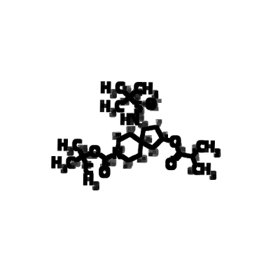 CC(C)C(=O)O[C@@H]1C[C@@H](N[S@+]([O-])C(C)(C)C)C2(CCN(C(=O)OC(C)(C)C)CC2)C1